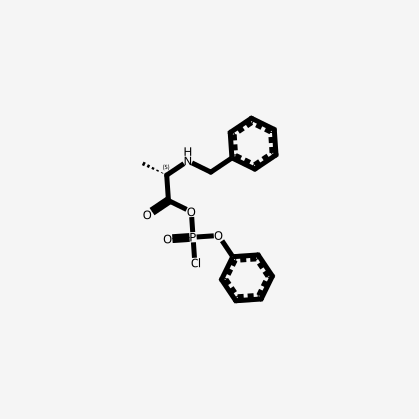 C[C@H](NCc1ccccc1)C(=O)OP(=O)(Cl)Oc1ccccc1